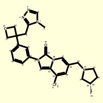 Cn1cnnc1CC1(c2cccc(-n3cc4c(C(F)(F)F)cc(CN5CC[C@H](F)C5)cn4c3=O)c2)COC1